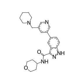 O=C(NC1CCOCC1)c1n[nH]c2ccc(-c3cncc(CN4CCCCC4)c3)cc12